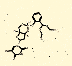 CCOC(OCC)c1ccccc1O[PH]1(O)OC[C@H]2O[C@@H](n3cc(F)c(=O)[nH]c3=O)C[C@@H]2O1